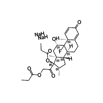 CCC(=O)OCC(=O)[C@@]1(OC(=O)CC)[C@@H](C)C[C@H]2[C@@H]3CCC4=CC(=O)C=C[C@]4(C)C3(F)[C@@H](O)C[C@@]21C.[NaH].[NaH]